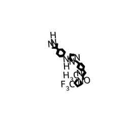 Cn1c(C(=O)N2CC[C@@H](C(F)(F)F)C2)cc2ccc(-c3nccc(Nc4ccc(-c5cn[nH]c5)cc4)n3)cc21